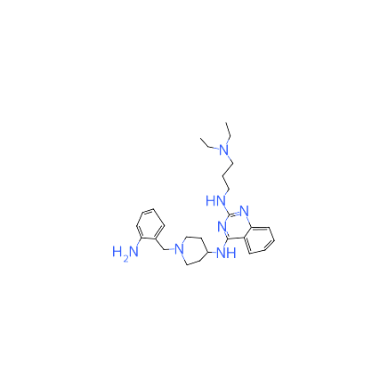 CCN(CC)CCCNc1nc(NC2CCN(Cc3ccccc3N)CC2)c2ccccc2n1